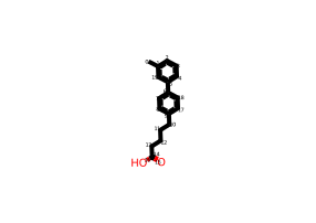 Cc1cccc(-c2ccc(CCCCC(=O)O)cc2)c1